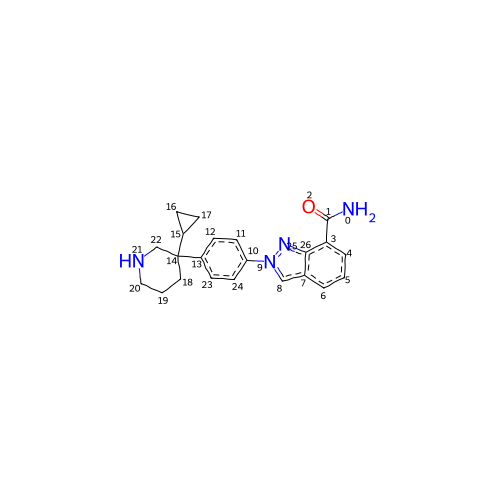 NC(=O)c1cccc2cn(-c3ccc(C4(C5CC5)CCCNC4)cc3)nc12